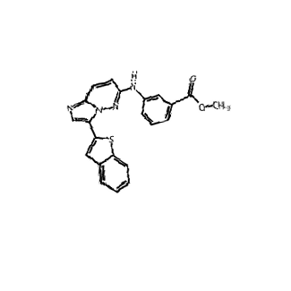 COC(=O)c1cccc(Nc2ccc3ncc(-c4cc5ccccc5s4)n3n2)c1